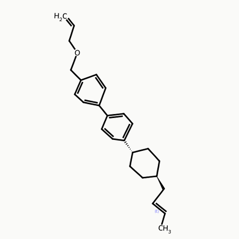 C=CCOCc1ccc(-c2ccc([C@H]3CC[C@H](C/C=C/C)CC3)cc2)cc1